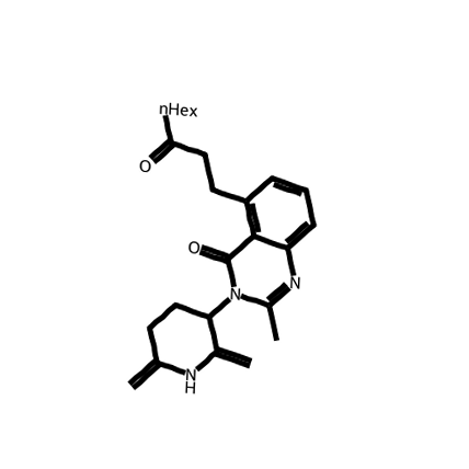 C=C1CCC(n2c(C)nc3cccc(CCC(=O)CCCCCC)c3c2=O)C(=C)N1